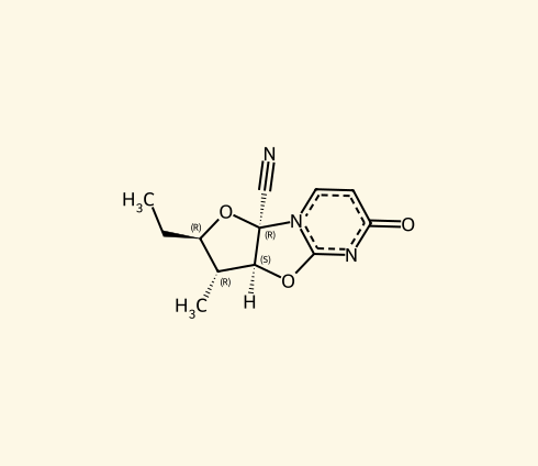 CC[C@H]1O[C@]2(C#N)[C@@H](Oc3nc(=O)ccn32)[C@@H]1C